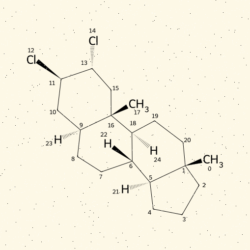 C[C@@]12CCC[C@H]1[C@@H]1CC[C@H]3C[C@@H](Cl)[C@H](Cl)C[C@]3(C)[C@H]1CC2